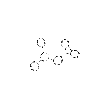 C1=C(c2ccccc2)NC(c2cccc(-n3c4ccccc4c4ccccc43)c2)N=C1c1ccccc1